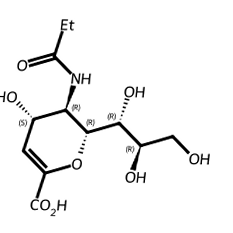 CCC(=O)N[C@H]1[C@H]([C@H](O)[C@H](O)CO)OC(C(=O)O)=C[C@@H]1O